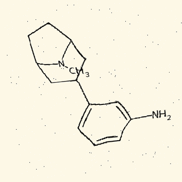 CN1C2CCC1CC(c1cccc(N)c1)C2